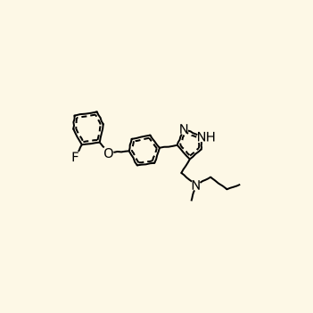 CCCN(C)Cc1c[nH]nc1-c1ccc(Oc2ccccc2F)cc1